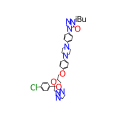 CCC(C)n1ncn(-c2ccc(N3CCN(c4ccc(OCC5COC(Cn6nccn6)(c6ccc(Cl)cc6)O5)cc4)CC3)cc2)c1=O